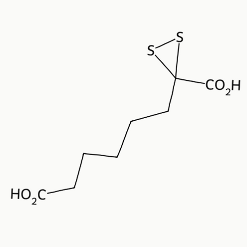 O=C(O)CCCCCC1(C(=O)O)SS1